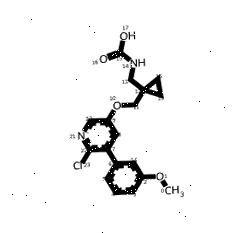 COc1cccc(-c2cc(OCC3(CNC(=O)O)CC3)cnc2Cl)c1